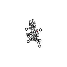 CC(C)(C)OC(=O)N[C@@H](C[C@@H](O)CNC(=O)OCc1ccccc1)C(=O)N[C@@H](Cc1cc(-c2ccc(OCc3ccccc3)c(C[C@H](NC(=O)OCc3ccccc3)C(=O)Oc3c(F)c(F)c(F)c(F)c3F)c2)ccc1[N+](=O)[O-])C(=O)OCc1ccccc1